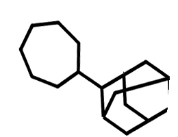 C1CCCC(C2[C]3CC4CC(C3)CC2C4)CC1